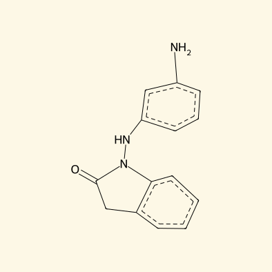 Nc1cccc(NN2C(=O)Cc3ccccc32)c1